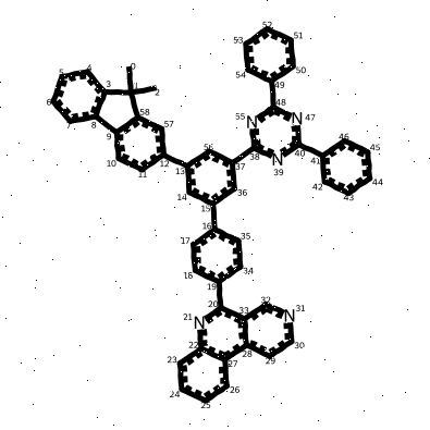 CC1(C)c2ccccc2-c2ccc(-c3cc(-c4ccc(-c5nc6ccccc6c6ccncc56)cc4)cc(-c4nc(-c5ccccc5)nc(-c5ccccc5)n4)c3)cc21